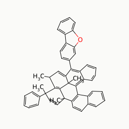 CC1C=C2C(c3ccc4c(c3)oc3ccccc34)=c3ccccc3=C3c4c(ccc5ccccc45)C4(C)C=CC(C)(c5ccccc5)C1=C4C23C